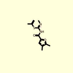 C=C(C)S/C(=N\C)NC(=O)c1cc(C)c(C)o1